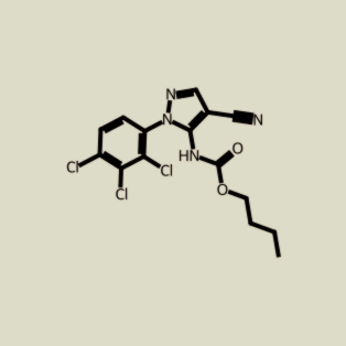 CCCCOC(=O)Nc1c(C#N)cnn1-c1ccc(Cl)c(Cl)c1Cl